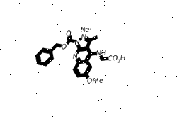 COc1ccc2nc3c(c(C)nn3C(=O)OCc3ccccc3)c(NCC(=O)O)c2c1.[Na]